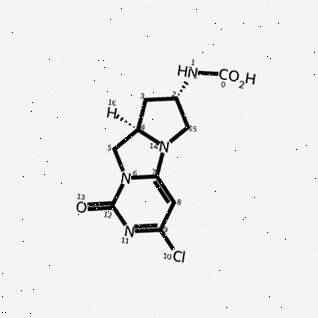 O=C(O)N[C@H]1C[C@@H]2Cn3c(cc(Cl)nc3=O)N2C1